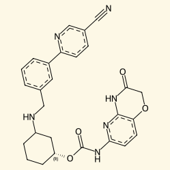 N#Cc1ccc(-c2cccc(CNC3CCC[C@@H](OC(=O)Nc4ccc5c(n4)NC(=O)CO5)C3)c2)nc1